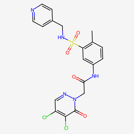 Cc1ccc(NC(=O)Cn2ncc(Cl)c(Cl)c2=O)cc1S(=O)(=O)NCc1ccncc1